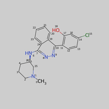 CN1CCC[C@@H](Nc2nnc(-c3ccc(Cl)cc3O)c3ccccc23)C1